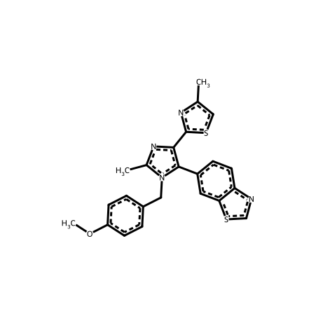 COc1ccc(Cn2c(C)nc(-c3nc(C)cs3)c2-c2ccc3ncsc3c2)cc1